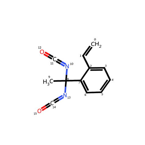 C=Cc1ccccc1C(C)(N=C=O)N=C=O